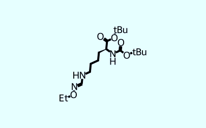 CCO/N=C/NCCCC[C@H](NC(=O)OC(C)(C)C)C(=O)OC(C)(C)C